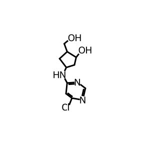 OCC1CC(Nc2cc(Cl)ncn2)CC1O